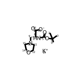 CC(C)(C)OC(=O)N[C@H](CN1CCOCC1)C(=O)[O-].[K+]